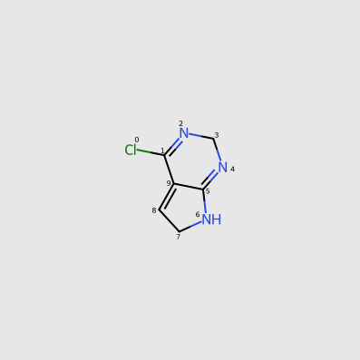 ClC1=NCN=C2NCC=C12